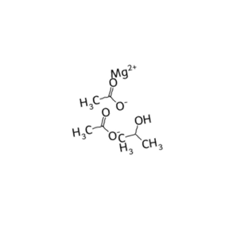 CC(=O)[O-].CC(=O)[O-].CC(C)O.[Mg+2]